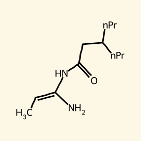 C/C=C(\N)NC(=O)CC(CCC)CCC